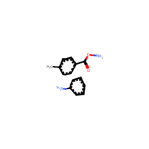 Cc1ccc(C(=O)ON)cc1.Nc1ccccc1